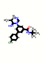 CC(C)C(=N)N(C=N)c1cc(C(=O)NC(C)(C)C)cc(-c2ccc(Cl)cc2)c1